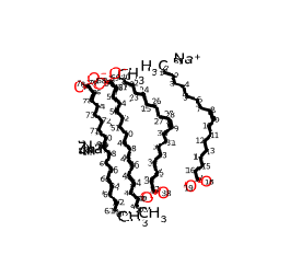 CCCCCCCC/C=C\CCCCCCCC(=O)[O-].CCCCCCCC/C=C\CCCCCCCC(=O)[O-].CCCCCCCCCCCCCCCCCC(=O)[O-].CCCCCCCCCCCCCCCCCC(=O)[O-].[Na+].[Na+].[Zn+2]